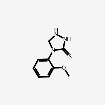 COc1ccccc1N1CNNC1=S